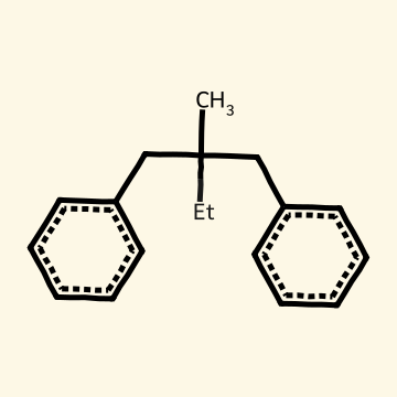 CCC(C)(Cc1ccccc1)Cc1ccccc1